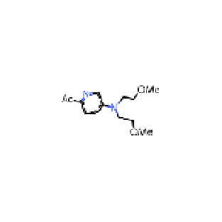 COCCN(CCOC)c1ccc(C(C)=O)nc1